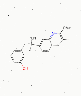 COc1nc2cc(C(C)(C#N)Cc3cccc(O)c3)ccc2cc1C